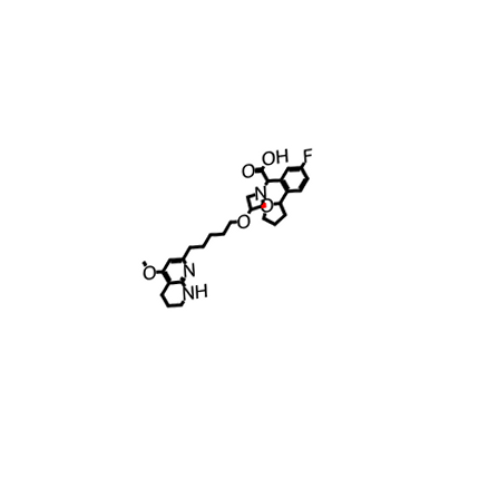 COc1cc(CCCCCOC2CN(C(C(=O)O)c3cc(F)ccc3C3CCCO3)C2)nc2c1CCCN2